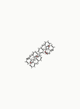 c1ccc2c(c1)Oc1ccc(-c3ccc4c(c3)[Si]3(c5ccccc5S4)c4ccccc4Sc4ncccc43)cc1C21c2ccccc2Oc2ncccc21